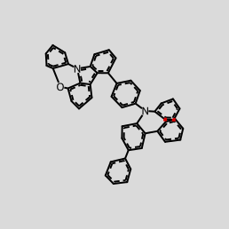 c1ccc(-c2ccc(N(c3ccccc3)c3ccc(-c4cccc5c4c4cccc6c4n5-c4ccccc4O6)cc3)c(-c3ccccc3)c2)cc1